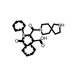 O=C(O)c1c(C(=O)N2CCC3(CCNC3)CC2)n(-c2ccccc2)c(=O)c2ccccc12